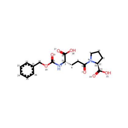 O=C(N[C@@H](CCC(=O)N1CCC[C@H]1C(=O)O)C(=O)O)OCc1ccccc1